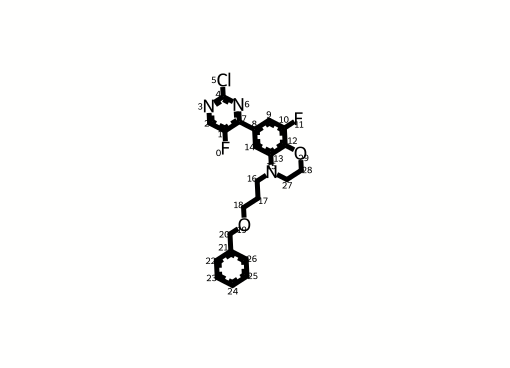 Fc1cnc(Cl)nc1-c1cc(F)c2c(c1)N(CCCOCc1ccccc1)CCO2